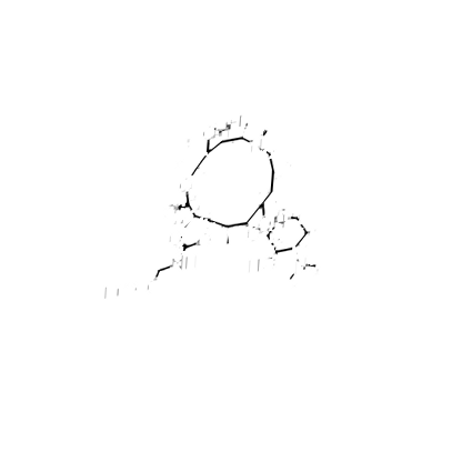 CCOC(=O)CNC(=O)O[C@H]1[C@H](C)[C@@H](O[C@@H]2O[C@H](C)C[C@H](N(C)C)[C@H]2O)[C@](C)(O)C[C@@H](C)CN(C)[C@H](C)[C@@H](O)[C@](C)(O)[C@@H](CC)OC(=O)[C@@H]1C